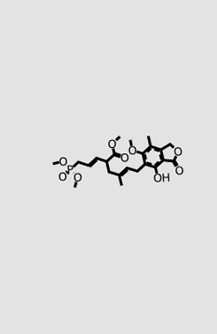 COC(=O)C(/C=C/CP(=O)(OC)OC)C/C(C)=C/Cc1c(O)c2c(c(C)c1OC)COC2=O